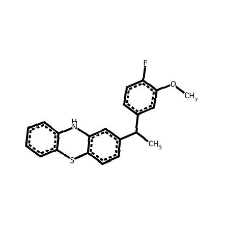 COc1cc(C(C)c2ccc3c(c2)Nc2ccccc2S3)ccc1F